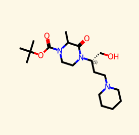 CC1C(=O)N([C@H](CO)CCN2CCCCC2)CCN1C(=O)OC(C)(C)C